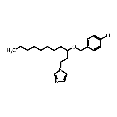 CCCCCCCCC(CCn1ccnc1)OCc1ccc(Cl)cc1